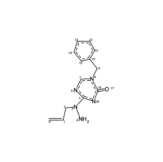 C=CCN(N)c1ncn(Cc2ccccc2)c(=O)n1